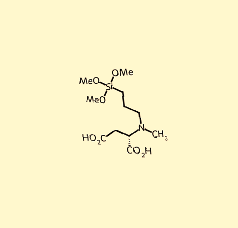 CO[Si](CCCN(C)[C@@H](CC(=O)O)C(=O)O)(OC)OC